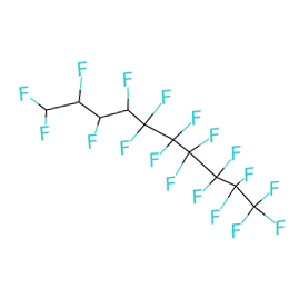 FC(F)C(F)C(F)C(F)C(F)(F)C(F)(F)C(F)(F)C(F)(F)C(F)(F)C(F)(F)F